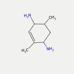 CC1=CC(N)C(C)CC1N